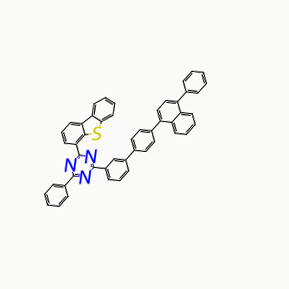 c1ccc(-c2nc(-c3cccc(-c4ccc(-c5ccc(-c6ccccc6)c6ccccc56)cc4)c3)nc(-c3cccc4c3sc3ccccc34)n2)cc1